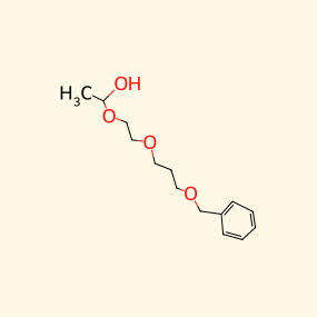 CC(O)OCCOCCCOCc1ccccc1